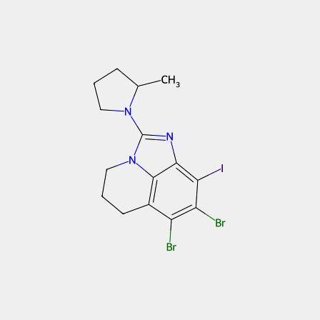 CC1CCCN1c1nc2c(I)c(Br)c(Br)c3c2n1CCC3